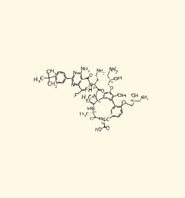 C[C@@H]1NC(=O)[C@@H](N(C)C(=O)[C@H](CCN)NC(=O)c2c(N)nc(-c3ccc(C(C)(C)C)cc3)nc2C(F)F)c2cc(OC[C@H](O)CN)c(O)c(c2)-c2cc(ccc2OC[C@H](O)CN)C[C@@H](C(=O)O)NC1=O